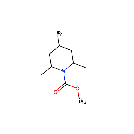 CC(C)C1CC(C)N(C(=O)OC(C)(C)C)C(C)C1